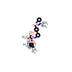 C[C@@H]1[C@@H](NC(=O)[C@@H]2[C@H]([C@H](C)O)[C@H](CO)ON2Cc2cccc(-c3ccc(C(=O)N(CCN(C)C)Cc4ccccc4)cc3)c2)C[C@H]2C[C@@H]1C2(C)C